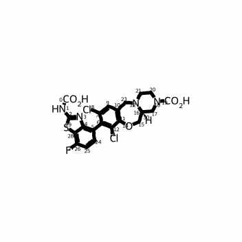 O=C(O)Nc1nc2c(-c3c(Cl)cc4c(c3Cl)OC[C@@H]3CN(C(=O)O)CCN3C4)ccc(F)c2s1